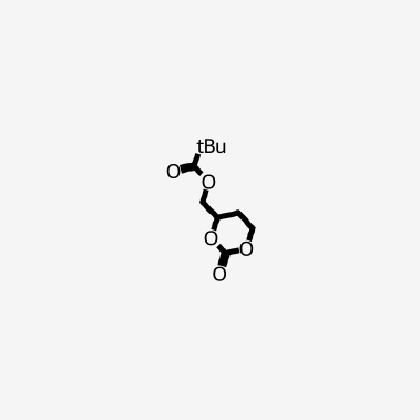 CC(C)(C)C(=O)OCC1CCOC(=O)O1